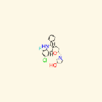 O[C@@H]1CCN(C[C@H]2CC[C@@H]3[C@H](O2)c2cc(Cl)cc(F)c2N[C@H]3c2ccccc2)C1